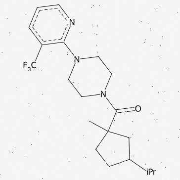 CC(C)C1CCC(C)(C(=O)N2CCN(c3ncccc3C(F)(F)F)CC2)C1